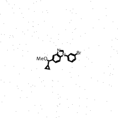 COC(c1ccc2c(c1)ncn2-c1cccc(Br)c1)C1CC1